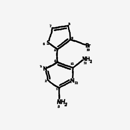 Nc1cnc(-c2sccc2Br)c(N)n1